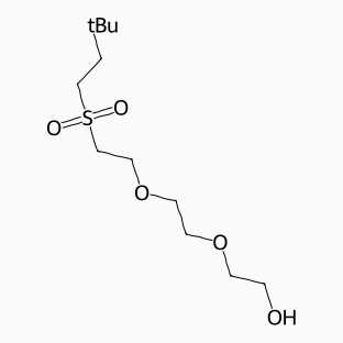 CC(C)(C)CCS(=O)(=O)CCOCCOCCO